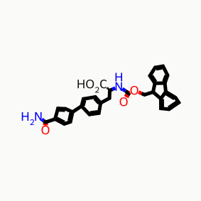 NC(=O)c1ccc(-c2ccc(C[C@H](NC(=O)OCC3c4ccccc4-c4ccccc43)C(=O)O)cc2)cc1